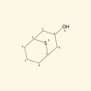 OC1CC2CCCC(C1)S2